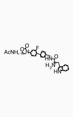 CC(=O)NC[C@H]1CN(c2ccc(-c3ccc(CNC(=O)[C@H](N)Cc4c[nH]c5ccccc45)cc3)c(F)c2)C(=O)O1